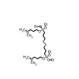 CCO[Si](CCCSSCCC[Si](OCC)(OCC)OCCCN(C)C)(OCC)OCCCN(C)C